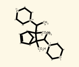 CC(N1CCOCC1)C1(C(=O)O)C2C=CC(C2)C1(C(=O)O)C(C)N1CCOCC1